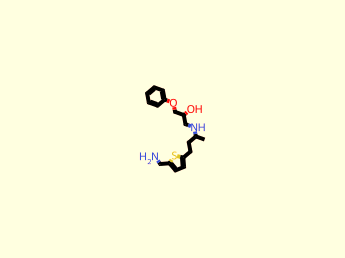 CC(CCc1ccc(CN)s1)NCC(O)COc1ccccc1